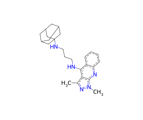 Cc1nn(C)c2nc3ccccc3c(NCCCNC34CC5CC(CC(C5)C3)C4)c12